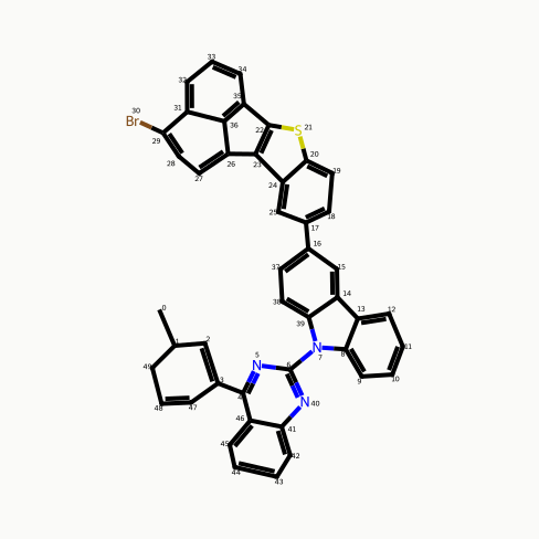 CC1C=C(c2nc(-n3c4ccccc4c4cc(-c5ccc6sc7c(c6c5)-c5ccc(Br)c6cccc-7c56)ccc43)nc3ccccc23)C=CC1